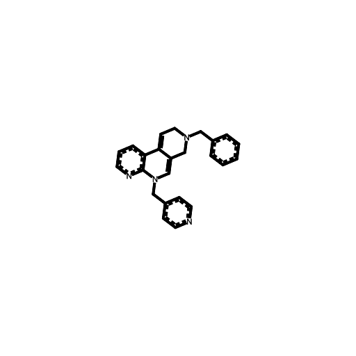 C1=C2CN(Cc3ccccc3)CC=C2c2cccnc2N1Cc1ccncc1